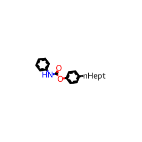 CCCCCCCc1ccc(OC(=O)Nc2ccccc2)cc1